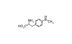 CBc1ccc(C[C@H](N)C(=O)O)cc1